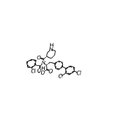 O=C(O)[C@H](Cc1ccc(-c2ccc(Cl)cc2Cl)cc1)N(C(=O)c1ccccc1Cl)C(=O)[C@@H]1CCCNC1